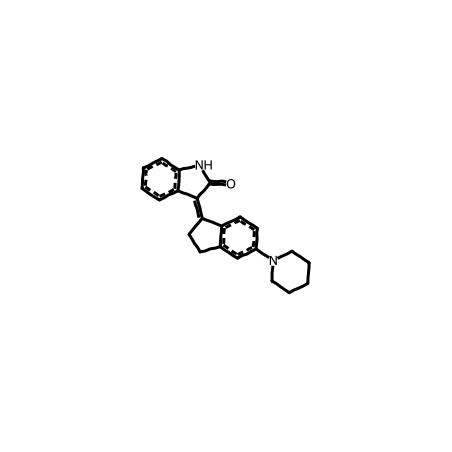 O=C1Nc2ccccc2C1=C1CCc2cc(N3CCCCC3)ccc21